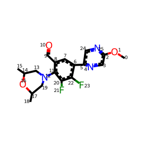 COc1cnc(-c2cc(C=O)c(N3CC(C)OC(C)C3)c(F)c2F)cn1